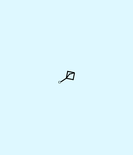 ClC12CC(C1)C2